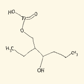 CCCC(O)C(CC)C[O][Ti](=[O])[OH]